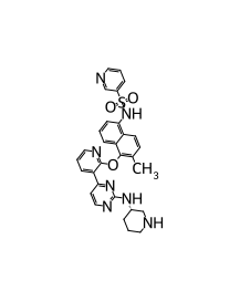 Cc1ccc2c(NS(=O)(=O)c3cccnc3)cccc2c1Oc1ncccc1-c1ccnc(N[C@H]2CCCNC2)n1